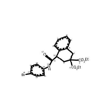 CCOC(=O)C1(C(=O)OCC)Cc2ccccc2C(C(=O)Nc2ccc(Br)cc2)C1